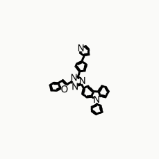 c1ccc(-n2c3ccccc3c3cc(-c4nc(-c5ccc(-c6cccnc6)cc5)nc(-c5cc6ccccc6o5)n4)ccc32)cc1